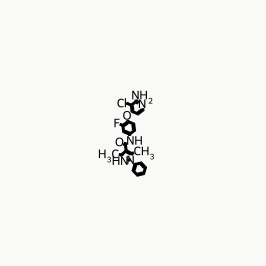 CC1=C(C(=O)Nc2ccc(Oc3ccnc(N)c3Cl)c(F)c2)C(C)NN1c1ccccc1